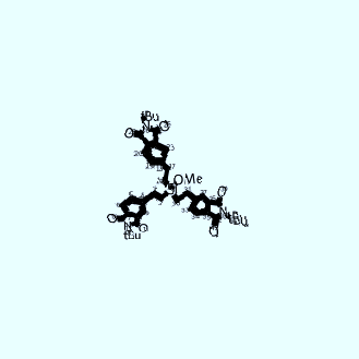 CO[Si](CCc1ccc2c(c1)C(=O)N(C(C)(C)C)C2=O)(CCc1ccc2c(c1)C(=O)N(C(C)(C)C)C2=O)CCc1ccc2c(c1)C(=O)N(C(C)(C)C)C2=O